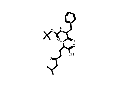 CC(C)CC(=O)CCC(NC(=O)C(Cc1ccccc1)NC(=O)OC(C)(C)C)C(=O)O